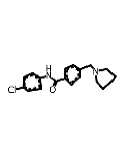 O=C(Nc1ccc(Cl)cc1)c1ccc(CN2CCCCC2)cc1